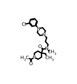 CCC1(C(=O)N(C)CCCN2CCN(c3cccc(Cl)c3)CC2)CCN(C(C)=O)CC1